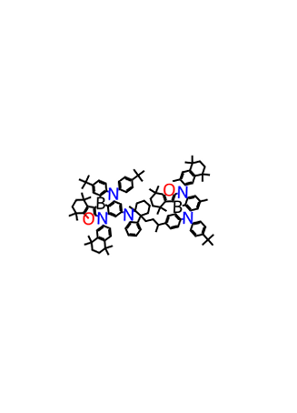 Cc1cc2c3c(c1)N(c1cc4c(cc1C)C(C)(C)CCC4(C)C)c1oc4c(c1B3c1cc(C(C)CCC35CCCCC3(C)N(c3cc6c7c(c3)N(c3ccc8c(c3)C(C)(C)CCC8(C)C)c3oc8c(c3B7c3cc(C(C)(C)C)ccc3N6c3ccc(C(C)(C)C)cc3)C(C)(C)CCC8(C)C)c3ccccc35)ccc1N2c1ccc(C(C)(C)C)cc1)C(C)(C)CCC4(C)C